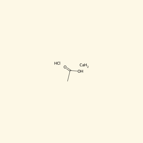 CC(=O)O.Cl.[CaH2]